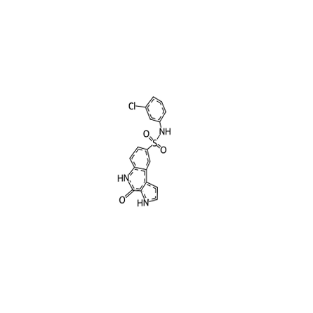 O=c1[nH]c2ccc(S(=O)(=O)Nc3cccc(Cl)c3)cc2c2cc[nH]c12